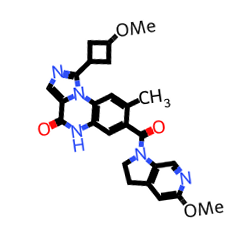 COc1cc2c(cn1)N(C(=O)c1cc3[nH]c(=O)c4cnc(C5CC(OC)C5)n4c3cc1C)CC2